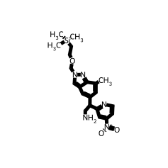 Cc1cc(C(CN)c2cc([N+](=O)[O-])ccn2)cc2cn(COCC[Si](C)(C)C)nc12